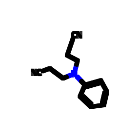 N#CCCN(CCC#N)c1ccccc1